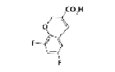 O=C(O)C1=Cc2cc(F)cc(F)c2OC1